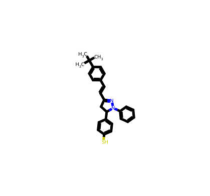 CC(C)(C)c1ccc(C=CC2=NN(c3ccccc3)C(c3ccc(S)cc3)C2)cc1